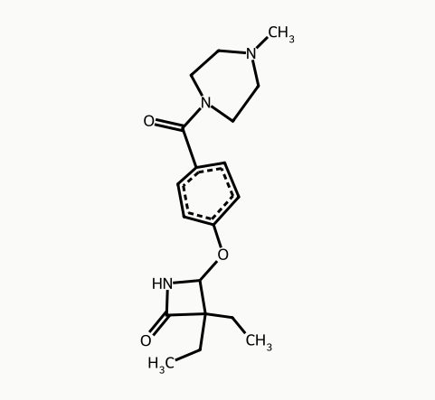 CCC1(CC)C(=O)NC1Oc1ccc(C(=O)N2CCN(C)CC2)cc1